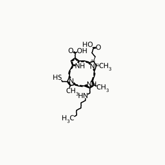 CCCCCCNCc1c(C)c2cc3nc(cc4[nH]c(cc5nc(cc1[nH]2)C(C)=C5CS)cc4C(=O)O)[C@@H](CCC(=O)O)[C@@H]3C